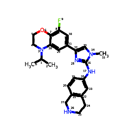 CC(C)N1CCOc2c(F)cc(-c3cn(C)c(Nc4ccc5c(c4)CCNC5)n3)cc21